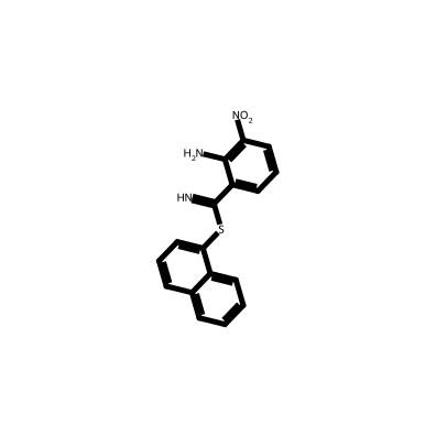 N=C(Sc1cccc2ccccc12)c1cccc([N+](=O)[O-])c1N